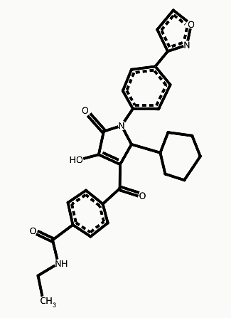 CCNC(=O)c1ccc(C(=O)C2=C(O)C(=O)N(c3ccc(-c4ccon4)cc3)C2C2CCCCC2)cc1